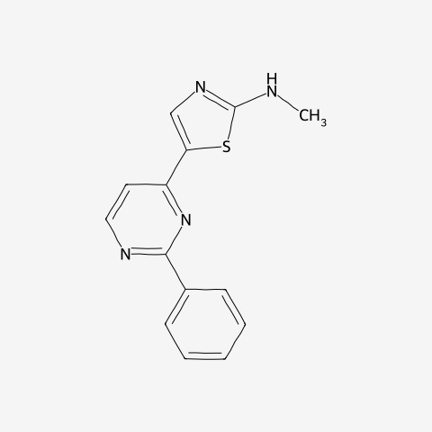 CNc1ncc(-c2ccnc(-c3ccccc3)n2)s1